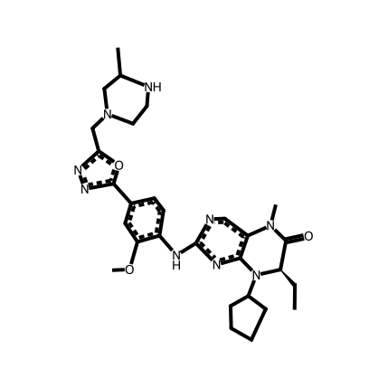 CC[C@@H]1C(=O)N(C)c2cnc(Nc3ccc(-c4nnc(CN5CCNC(C)C5)o4)cc3OC)nc2N1C1CCCC1